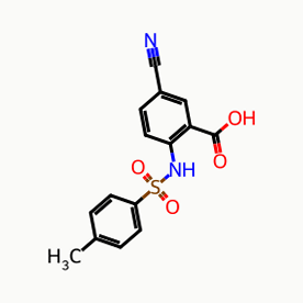 Cc1ccc(S(=O)(=O)Nc2ccc(C#N)cc2C(=O)O)cc1